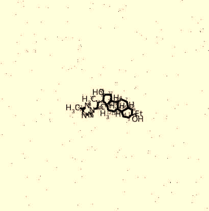 CC[C@@]1(O)CC[C@H]2[C@H](CC[C@@H]3[C@@H]2CC[C@]2(C)[C@@H]([C@@H](C)Cn4nnc(C)n4)[C@H](O)C[C@@H]32)C1